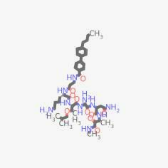 CCCCc1ccc(-c2ccc(C(=O)NCCC(=O)N[C@@H](CCCCN)C(=O)N[C@H](C(=O)N[C@@H](N)C(=O)NC(CC(N)=O)C(=O)NC(C)C(=O)C(=O)NC)[C@@H](C)OCC(C)C)cc2)cc1